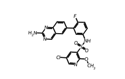 COc1ncc(Cl)cc1S(=O)(=O)Nc1ccc(F)c(-c2ccc3nc(N)ncc3c2)c1